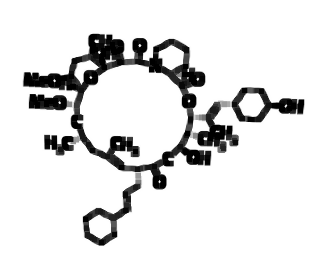 CO[C@H]1C[C@@H](C)C/C(C)=C/[C@@H](C/C=C/C2CCCCC2)C(=O)C[C@H](O)[C@@H](C)[C@@H](/C(C)=C/[C@H]2CC[C@H](O)CC2)OC(=O)[C@@H]2CCCCN2C(=O)C(=O)[C@]2(O)O[C@H]1[C@@H](OC)C[C@H]2C